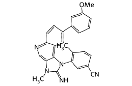 COc1cccc(-c2ccc3ncc4c(c3c2)n(-c2cc(C#N)ccc2C)c(=N)n4C)c1